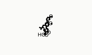 COc1cc2c(cc1N1CCC(OC)C1)CC(C(C)C)n1cc(C(=O)O)c(=O)cc1-2